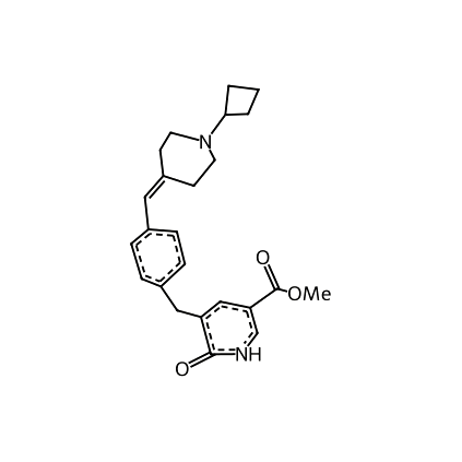 COC(=O)c1c[nH]c(=O)c(Cc2ccc(C=C3CCN(C4CCC4)CC3)cc2)c1